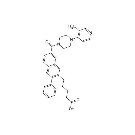 Cc1cnccc1N1CCN(C(=O)c2ccc3nc(-c4ccccc4)c(CCCCC(=O)O)cc3c2)CC1